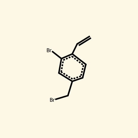 C=Cc1ccc(CBr)cc1Br